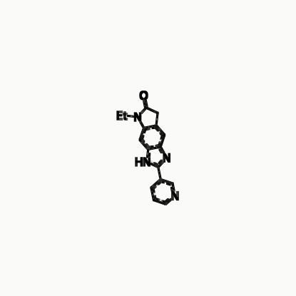 CCN1C(=O)Cc2cc3nc(-c4cccnc4)[nH]c3cc21